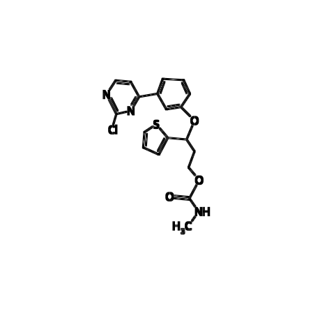 CNC(=O)OCCC(Oc1cccc(-c2ccnc(Cl)n2)c1)c1cccs1